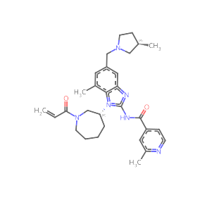 C=CC(=O)N1CCCC[C@@H](n2c(NC(=O)c3ccnc(C)c3)nc3cc(CN4CC[C@@H](C)C4)cc(C)c32)C1